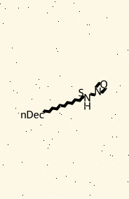 CCCCCCCCCCCCCCCCCCCCC(=S)NCCN1CCOCC1